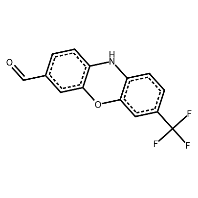 O=Cc1ccc2c(c1)Oc1cc(C(F)(F)F)ccc1N2